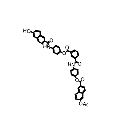 CC(=O)Oc1ccc2cc(C(=O)Oc3ccc(NC(=O)c4cccc(C(=O)Oc5ccc(NC(=O)c6ccc7cc(O)ccc7c6)cc5)c4)cc3)ccc2c1